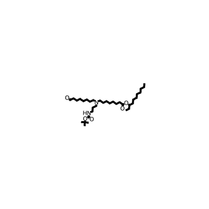 CCCCCCCCC(CC)OC(=O)CCCCCCCN(CCCCCCCC=O)CCCNC(=O)OC(C)(C)C